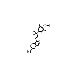 CCC1CCc2c(csc2C=CC(=O)c2cc(C)c(O)c(C)c2)C1